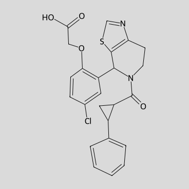 O=C(O)COc1ccc(Cl)cc1C1c2scnc2CCN1C(=O)C1CC1c1ccccc1